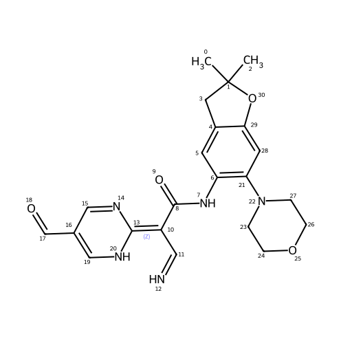 CC1(C)Cc2cc(NC(=O)/C(C=N)=C3\N=CC(C=O)=CN3)c(N3CCOCC3)cc2O1